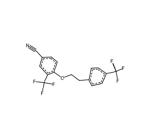 N#Cc1ccc(OCCc2ccc(C(F)(F)F)cc2)c(C(F)(F)F)c1